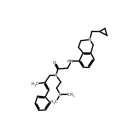 CC(=Cc1ccccc1)CN(CCN(C)C)C(=O)CNc1cccc2c1CCN(CC1CC1)C2